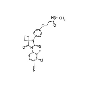 CNC(=O)CCOc1ccc(N2C(=S)N(c3ccc(C#N)c(Cl)c3F)C(=O)C23CCC3)cc1